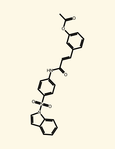 CC(=O)Oc1cccc(C=CC(=O)Nc2ccc(S(=O)(=O)n3ccc4ccccc43)cc2)c1